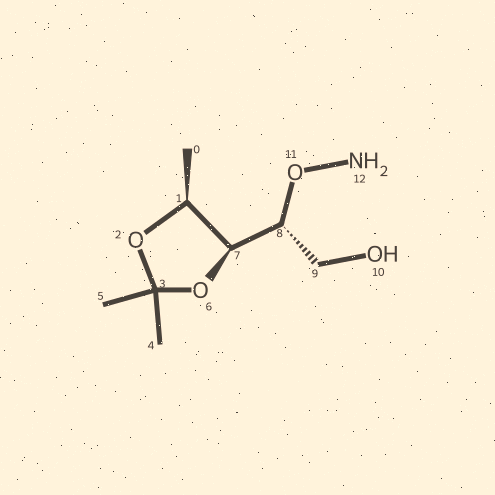 C[C@@H]1OC(C)(C)O[C@@H]1[C@@H](CO)ON